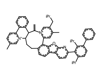 C=C1C2c3ccccc3-c3ccc(C)c[n+]3C2CCc2ccc3c(oc4nc(-c5c(C(C)C)ccc(-c6ccccc6)c5C(C)C)ccc43)c2-c2cc(C)c(CC(C)C)c[n+]21